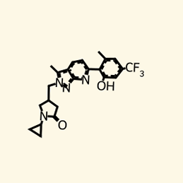 Cc1cc(C(F)(F)F)cc(O)c1-c1ccc2c(C)n(CC3CC(=O)N(C4CC4)C3)nc2n1